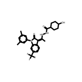 C/C(NNC(=O)C1CCC(O)CC1)=C1/C(=O)N(c2cc(C)cc(C)c2)c2cc(C(F)(F)F)ccc21